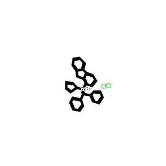 C1=C[CH]([Zr+2](=[C](c2ccccc2)c2ccccc2)[c]2cccc3c2Cc2ccccc2-3)C=C1.[Cl-].[Cl-]